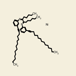 CCCCCCCCCCCCCC#Cc1cccc(N=C(CCCCC)C(CCCCCC)=Nc2cccc(C#CCCCCCCCCCCCCC)c2)c1.[Ni]